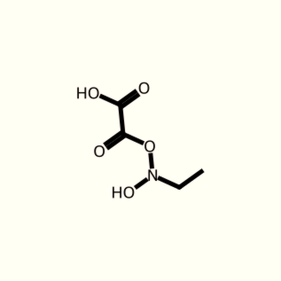 CCN(O)OC(=O)C(=O)O